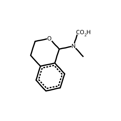 CN(C(=O)O)C1OCCc2ccccc21